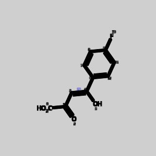 O=C(O)C(=O)/C=C(\O)c1ccc(F)cc1